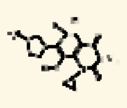 CCOc1c(N2CCC(N)C2)c(F)cc2c(=O)n(N)c(=O)n(C3CC3)c12.Cl